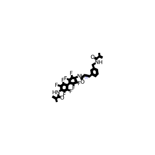 C=C(C)C(=O)NCc1cccc(/C=C/C(=O)Nc2c(F)c(F)c(-c3c(F)c(F)c(NC(=O)C(=C)C)c(F)c3F)c(F)c2F)c1